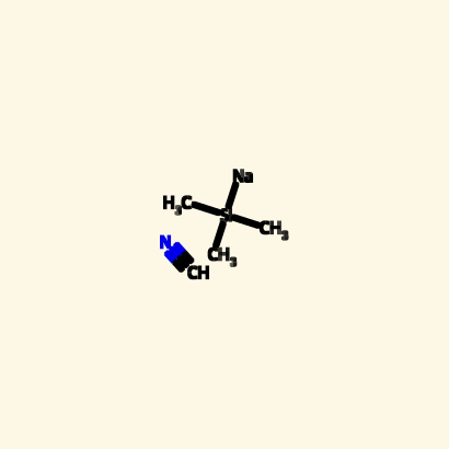 C#N.C[Si](C)(C)[Na]